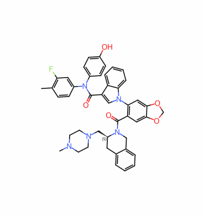 Cc1ccc(N(C(=O)c2cn(-c3cc4c(cc3C(=O)N3Cc5ccccc5C[C@H]3CN3CCN(C)CC3)OCO4)c3ccccc23)c2ccc(O)cc2)cc1F